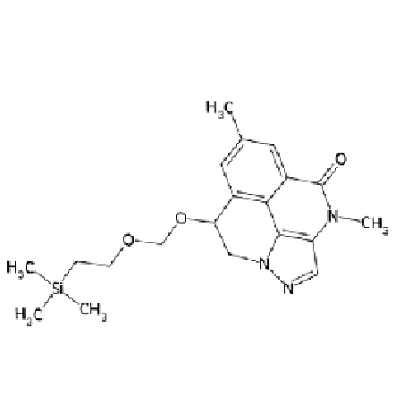 Cc1cc2c3c(c1)c(=O)n(C)c1cnn(c31)CC2OCOCC[Si](C)(C)C